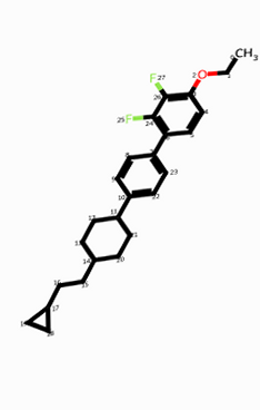 CCOc1ccc(-c2ccc(C3CCC(CCC4CC4)CC3)cc2)c(F)c1F